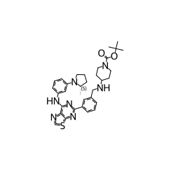 C[C@H]1CCCN1c1cccc(Nc2nc(-c3cccc(CNC4CCN(C(=O)OC(C)(C)C)CC4)c3)nc3scnc23)c1